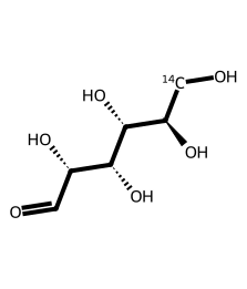 O=C[C@H](O)[C@@H](O)[C@H](O)[C@H](O)[14CH2]O